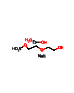 CCO.O.O=S(=O)(O)OCCOCCO.[NaH]